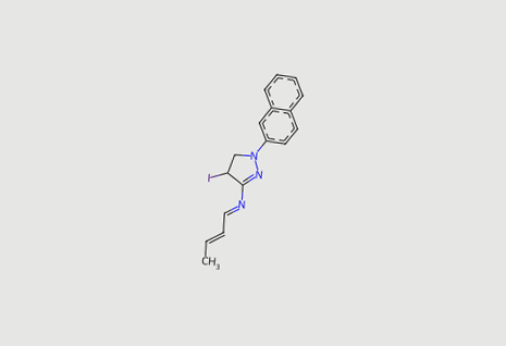 CC=CC=NC1=NN(c2ccc3ccccc3c2)CC1I